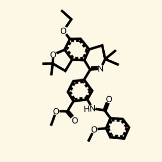 CCOc1cc2c(c3c1OC(C)(C)C3)C(c1ccc(C(=O)OC)c(NC(=O)c3ccccc3OC)c1)=NC(C)(C)C2